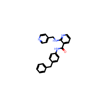 O=C(Nc1ccc(Cc2ccccc2)cc1)c1cccnc1NCc1ccncc1